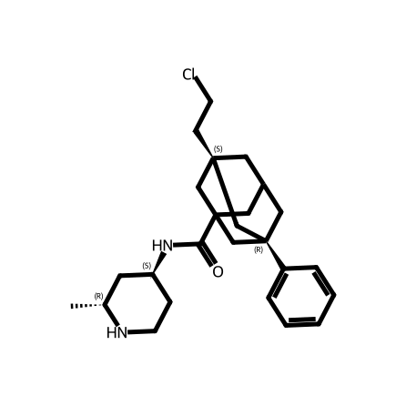 C[C@@H]1C[C@@H](NC(=O)C23CC4C[C@@](CCCl)(C2)C[C@](c2ccccc2)(C4)C3)CCN1